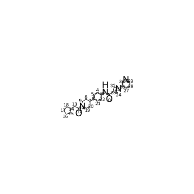 O=C(Nc1ccc(C2CCN(C(=O)CC3CCCC3)CC2)cc1)C1CN(c2cccnc2)C1